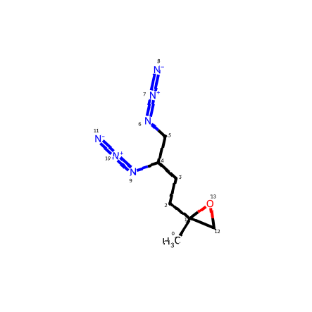 CC1(CCC(CN=[N+]=[N-])N=[N+]=[N-])CO1